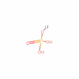 O=P(O)(O)[O][U]